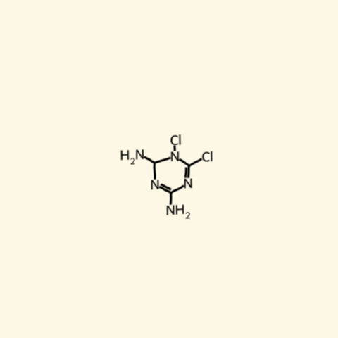 NC1=NC(N)N(Cl)C(Cl)=N1